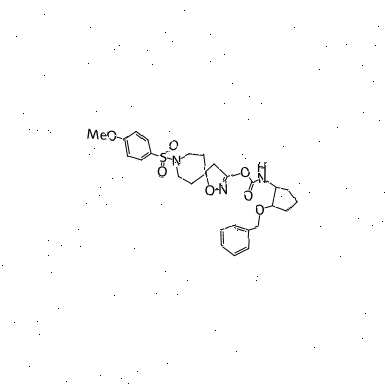 COc1ccc(S(=O)(=O)N2CCC3(CC2)CC(OC(=O)NC2CCCC2OCc2ccccc2)=NO3)cc1